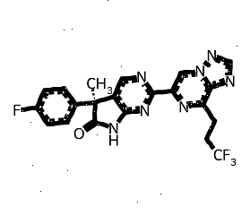 C[C@@]1(c2ccc(F)cc2)C(=O)Nc2nc(-c3cn4ncnc4c(CCC(F)(F)F)n3)ncc21